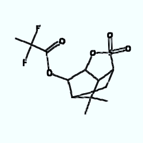 CC(F)(F)C(=O)OC1C2OS(=O)(=O)C3CC1C(C)(C)C23